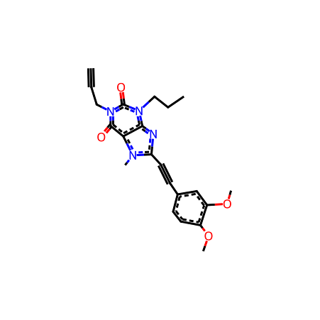 C#CCn1c(=O)c2c(nc(C#Cc3ccc(OC)c(OC)c3)n2C)n(CCC)c1=O